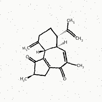 C=C1CC[C@H](C(=C)C)[C@H]2C=C(C)C(=O)C3=C(C(=O)[C@H](C)C3)[C@H]12